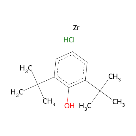 CC(C)(C)c1cccc(C(C)(C)C)c1O.Cl.[Zr]